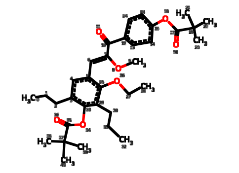 CCCc1cc(C=C(OC)C(=O)c2ccc(OC(=O)C(C)(C)C)cc2)c(OCC)c(CCC)c1OC(=O)C(C)(C)C